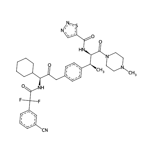 C[C@@H](c1ccc(CC(=O)[C@@H](NC(=O)C(F)(F)c2cccc(C#N)c2)C2CCCCC2)cc1)[C@@H](NC(=O)c1cnns1)C(=O)N1CCN(C)CC1